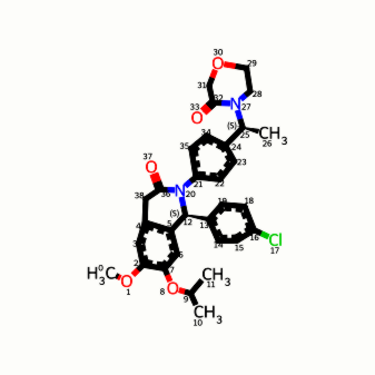 COc1cc2c(cc1OC(C)C)[C@H](c1ccc(Cl)cc1)N(c1ccc([C@H](C)N3CCOCC3=O)cc1)C(=O)C2